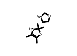 C1COCN1.CC1=C(C)SC(C)(C)N1